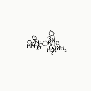 CC1(CN2C(=O)NC(=O)C23COC3)CCC(N2C(=O)C(=C(N)N)C(=O)N(Cc3ccccc3)C2=O)CC1